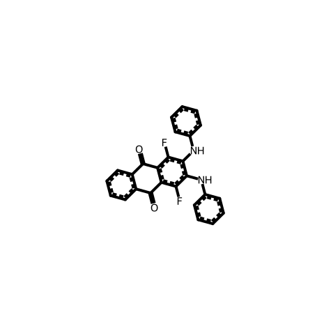 O=C1c2ccccc2C(=O)c2c(F)c(Nc3ccccc3)c(Nc3ccccc3)c(F)c21